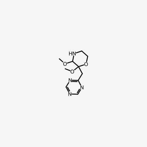 COC1NCCOC1(Cc1ncncn1)OC